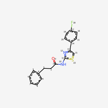 O=C(CCc1ccccc1)Nc1nc(-c2ccc(F)cc2)cs1